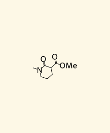 COC(=O)C1CCCN(C)C1=O